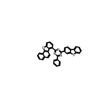 c1ccc(-c2nc(-c3ccc4c(c3)sc3ccccc34)nc(-c3cccc4oc5c6ccccc6ccc5c34)n2)cc1